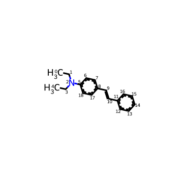 CCN(CC)c1ccc(/C=C/c2cc[c]cc2)cc1